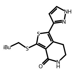 CCC(C)CSc1sc(-c2cc[nH]n2)c2c1C(=O)NCC2